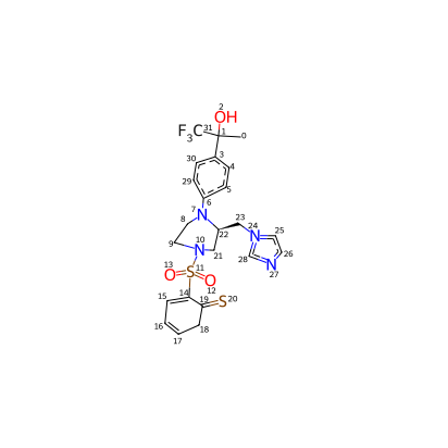 CC(O)(c1ccc(N2CCN(S(=O)(=O)C3=CC=CCC3=S)C[C@@H]2Cn2ccnc2)cc1)C(F)(F)F